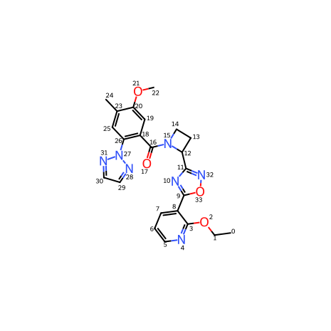 CCOc1ncccc1-c1nc(C2CCN2C(=O)c2cc(OC)c(C)cc2-n2nccn2)no1